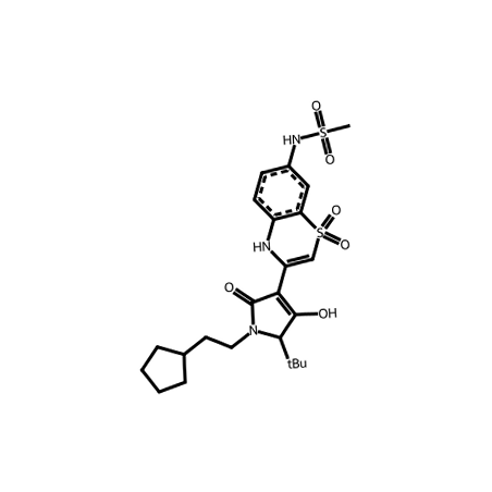 CC(C)(C)C1C(O)=C(C2=CS(=O)(=O)c3cc(NS(C)(=O)=O)ccc3N2)C(=O)N1CCC1CCCC1